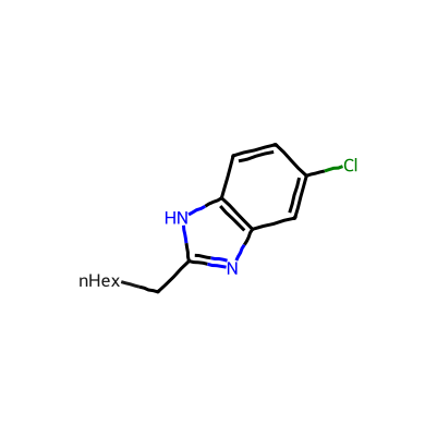 CCCCCCCc1nc2cc(Cl)ccc2[nH]1